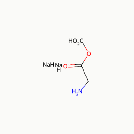 NCC(=O)OC(=O)O.[NaH].[NaH]